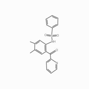 Cc1cc(NS(=O)(=O)c2ccccc2)c(C(=O)c2ccccn2)cc1C